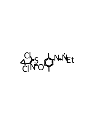 CCN(C)/C=N/c1cc(C)c(Oc2nc(C3(Cl)CC3)c(Cl)s2)cc1C